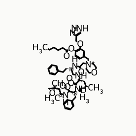 CCCCCC(=O)Oc1ccc(C[N+]2(CC(=O)N[C@@H](CCc3ccccc3)C(=O)N[C@@H](CC(C)C)C(=O)N[C@@H](Cc3ccccc3)C(=O)N[C@@H](C)C(=O)[C@@]3(C)CO3)CCOCC2)cc1OCc1c[nH]nn1